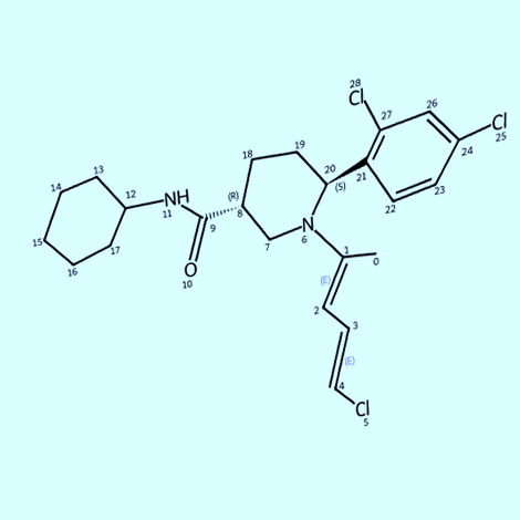 C/C(=C\C=C\Cl)N1C[C@H](C(=O)NC2CCCCC2)CC[C@H]1c1ccc(Cl)cc1Cl